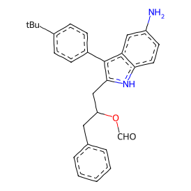 CC(C)(C)c1ccc(-c2c(CC(Cc3ccccc3)OC=O)[nH]c3ccc(N)cc23)cc1